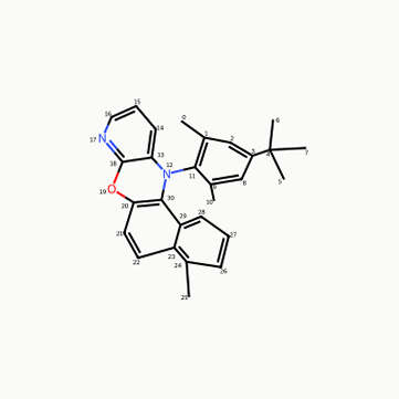 Cc1cc(C(C)(C)C)cc(C)c1N1c2cccnc2Oc2ccc3c(C)cccc3c21